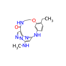 CCc1ccc2cc1OCCNC(=O)c1cnn3c(NC)cc(nc13)N2